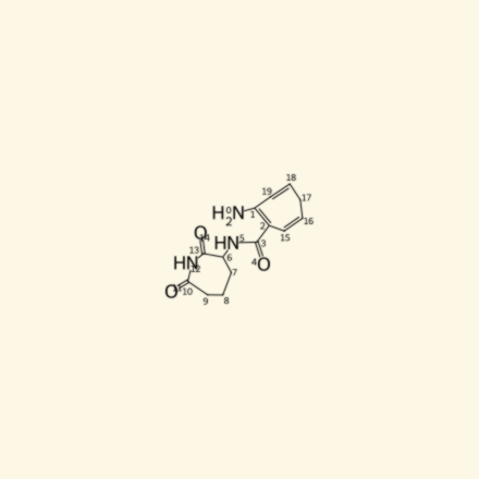 NC1=C(C(=O)NC2CCCC(=O)NC2=O)C=CCC=C1